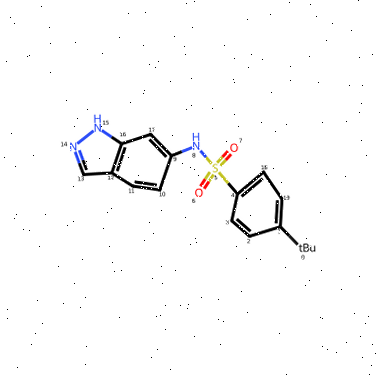 CC(C)(C)c1ccc(S(=O)(=O)Nc2ccc3cn[nH]c3c2)cc1